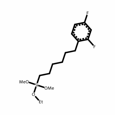 CCO[Si](CCCCCCc1ccc(F)cc1F)(OC)OC